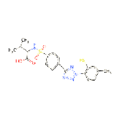 Cc1ccc(-n2nnc(-c3ccc(S(=O)(=O)NC(C(=O)O)C(C)C)cc3)n2)c(S)c1